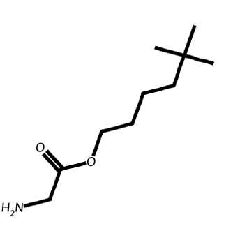 CC(C)(C)CCCCOC(=O)CN